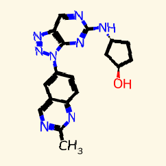 Cc1ncc2cc(-n3nnc4cnc(N[C@@H]5CC[C@@H](O)C5)nc43)ccc2n1